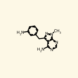 Cn1nc(Cc2cccc(N)c2)c2c(N)ncnc21